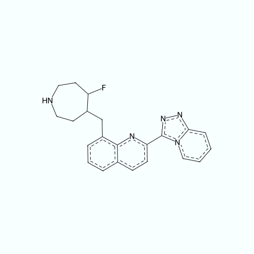 FC1CCNCCC1Cc1cccc2ccc(-c3nnc4ccccn34)nc12